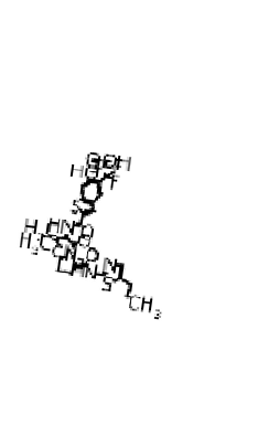 CCCc1cnc(NC(=O)C2CCCN2C(=O)C(NC(=O)c2cc3cc(C(F)(F)P(=O)(O)O)ccc3s2)C(C)(C)C)s1